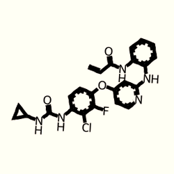 C=CC(=O)Nc1ccccc1Nc1cc(Oc2ccc(NC(=O)NC3CC3)c(Cl)c2F)ccn1